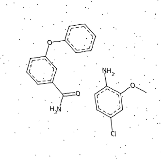 COc1cc(Cl)ccc1N.NC(=O)c1cccc(Oc2ccccc2)c1